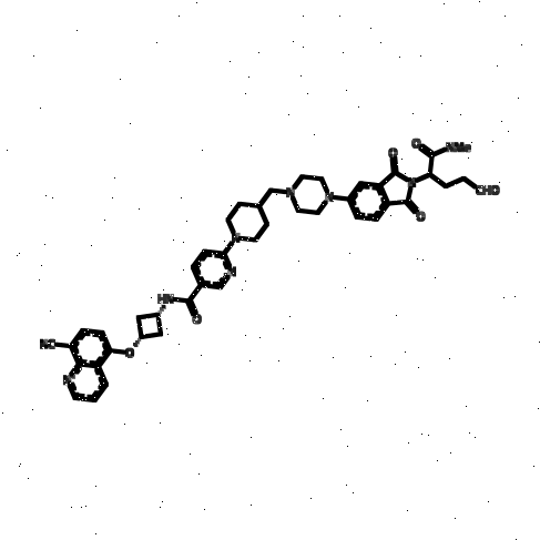 CNC(=O)C(CCC=O)N1C(=O)c2ccc(N3CCN(CC4CCN(c5ccc(C(=O)N[C@H]6C[C@@H](Oc7ccc(C#N)c8ncccc78)C6)cn5)CC4)CC3)cc2C1=O